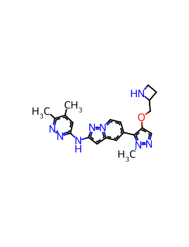 Cc1cc(Nc2cc3cc(-c4c(OCC5CCN5)cnn4C)ccn3n2)nnc1C